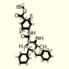 C[C@H](C(=N)N(C)C(=O)Nc1cc(F)c(C(=O)OC(C)(C)C)cc1F)N(Cc1ccccc1)Cc1ccccc1